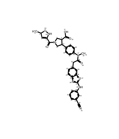 CC1C=C(C(=O)N2CC(C(=O)O)C(c3ccc(N(C)C(=O)Cc4ccc5nc(Nc6cccc(C#N)c6)oc5c4)cc3)C2)NO1